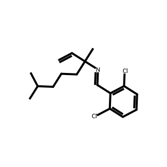 C=CC(C)(CCCC(C)C)N=Cc1c(Cl)cccc1Cl